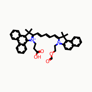 CC1(C)C(/C=C/C=C/C=C2\N(CCOC=O)c3ccc4ccccc4c3C2(C)C)=[N+](CCC(=O)O)c2c1c1ccccc1c1ccccc21